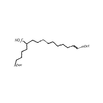 CCCCCCCCC=CCCCCCCCCC(CCCCCCCCCCCCCC)C(=O)O